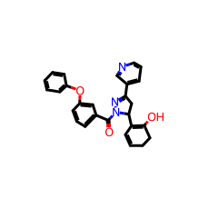 O=C(c1cccc(Oc2ccccc2)c1)N1N=C(c2cccnc2)CC1C1=C(O)CCC=C1